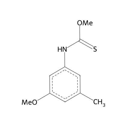 COC(=S)Nc1cc(C)cc(OC)c1